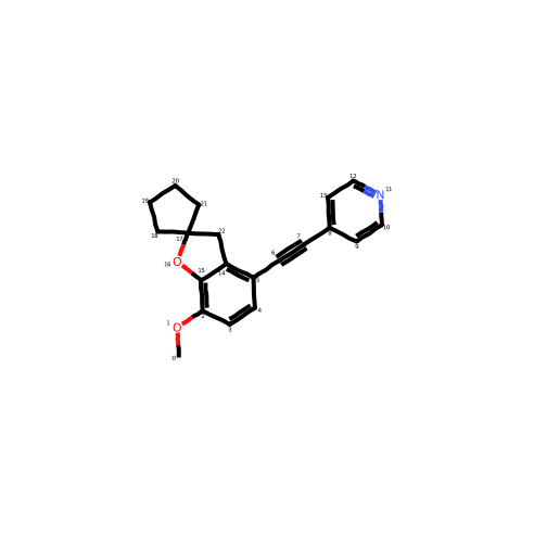 COc1ccc(C#Cc2ccncc2)c2c1OC1(CCCC1)C2